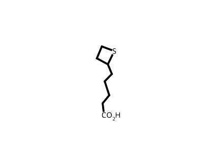 O=C(O)CCCCC1CCS1